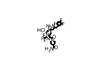 Cl.NC(=O)C1CCN(C(=O)c2nc(C(F)(F)F)n3c2CN(C(=O)C[C@H](N)Cc2cc(F)c(F)cc2F)CC3)CC1